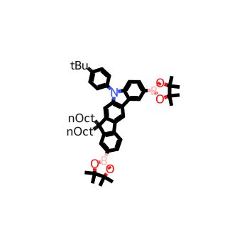 CCCCCCCCC1(CCCCCCCC)c2cc(B3OC(C)(C)C(C)(C)O3)ccc2-c2cc3c4cc(B5OC(C)(C)C(C)(C)O5)ccc4n(-c4ccc(C(C)(C)C)cc4)c3cc21